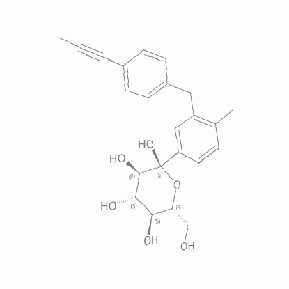 CC#Cc1ccc(Cc2cc([C@]3(O)O[C@H](CO)[C@@H](O)[C@H](O)[C@H]3O)ccc2C)cc1